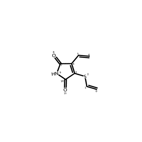 C=CSC1=C(C=C)C(=O)NC1=O